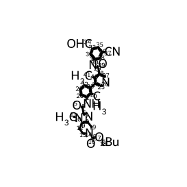 Cc1c(NC(=O)c2nc3c(n2C)CCN(C(=O)OC(C)(C)C)C3)cccc1-c1cncc(-c2nc3cc(C=O)cc(C#N)c3o2)c1C